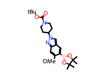 COc1cc2nn(C3CCN(C(=O)OC(C)(C)C)CC3)cc2cc1B1OC(C)(C)C(C)(C)O1